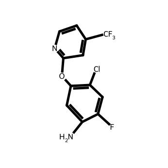 Nc1cc(Oc2cc(C(F)(F)F)ccn2)c(Cl)cc1F